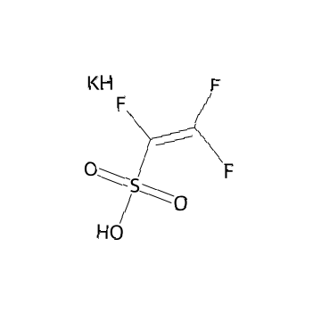 O=S(=O)(O)C(F)=C(F)F.[KH]